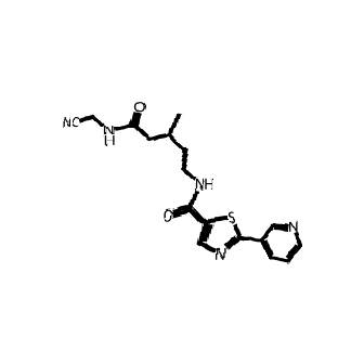 CC(CCNC(=O)c1cnc(-c2cccnc2)s1)CC(=O)NCC#N